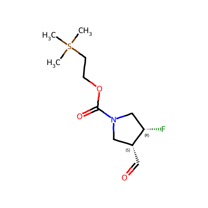 CS(C)(C)CCOC(=O)N1C[C@@H](C=O)[C@@H](F)C1